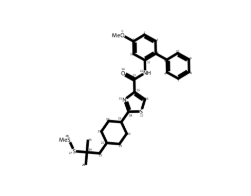 COc1ccc(-c2ccccc2)c(NC(=O)c2csc(C3CCC(CC(C)(C)SSC)CC3)n2)c1